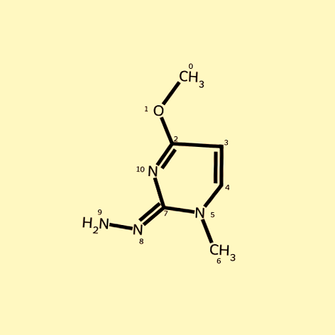 COc1ccn(C)c(=NN)n1